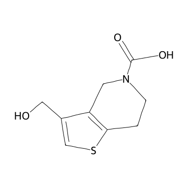 O=C(O)N1CCc2scc(CO)c2C1